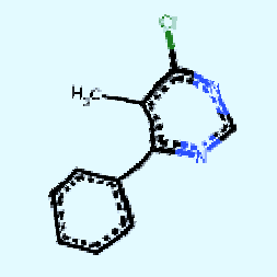 Cc1c(Cl)ncnc1-c1ccccc1